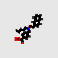 CCCCCN(Cc1ccc(C(=O)O)cc1)OCc1ccc2ccccc2c1